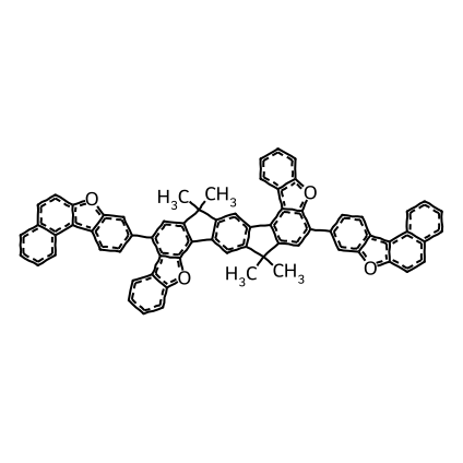 CC1(C)c2cc3c(cc2-c2c1cc(-c1ccc4c(c1)oc1ccc5ccccc5c14)c1c2oc2ccccc21)C(C)(C)c1cc(-c2ccc4c(c2)oc2ccc5ccccc5c24)c2oc4ccccc4c2c1-3